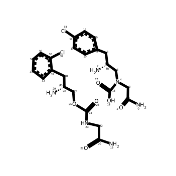 NC(=O)CN(C[C@H](N)Cc1ccc(Cl)cc1)C(=O)O.NC(=O)CNC(=O)OC[C@H](N)Cc1ccccc1Cl